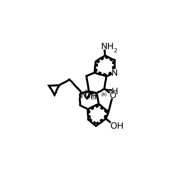 Nc1cnc2c(c1)C[C@@]1(O)C3Cc4ccc(O)c5c4[C@@]1(CCN3CC1CC1)[C@H]2O5